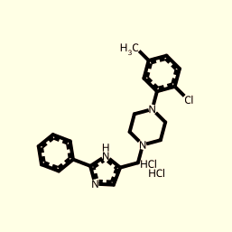 Cc1ccc(Cl)c(N2CCN(Cc3cnc(-c4ccccc4)[nH]3)CC2)c1.Cl.Cl